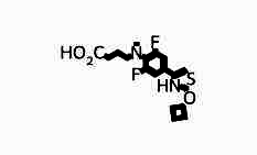 CN(CCCC(=O)O)c1c(F)cc(C2=CSC(OC3CCC3)N2)cc1F